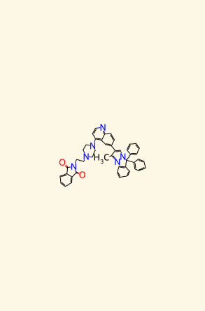 Cc1nn(C(c2ccccc2)(c2ccccc2)c2ccccc2)cc1-c1ccc2nccc(N3CCN(CCN4C(=O)c5ccccc5C4=O)CC3)c2c1